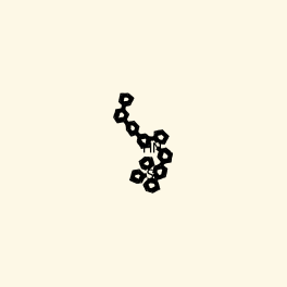 C1=CC(C2=CCCC=C2)CC(C2=CC=C(c3cccc(C4=C(Nc5cccc(-c6cccc([Si](c7ccccc7)(c7ccccc7)c7ccccc7)c6)c5)CCC=C4)c3)CC2)=C1